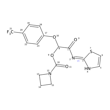 O=C(/N=c1/[nH]ccs1)C(OC(=O)N1CCC1)Oc1ccc(C(F)(F)F)cc1